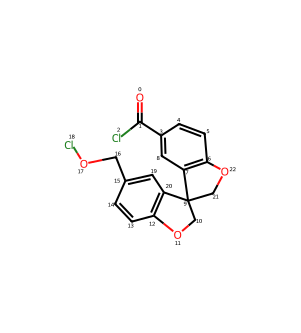 O=C(Cl)c1ccc2c(c1)C1(COc3ccc(COCl)cc31)CO2